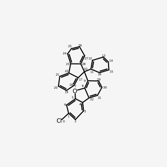 Clc1ccc2c(c1)oc1c(C3(c4ccccc4)c4ccccc4-c4ccccc43)cccc12